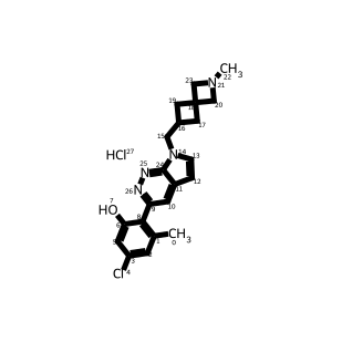 Cc1cc(Cl)cc(O)c1-c1cc2ccn(CC3CC4(C3)CN(C)C4)c2nn1.Cl